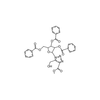 COC(=O)c1nnn(C2OC(COC(=O)c3ccccc3)C(OC(=O)c3ccccc3)C2OC(=O)c2ccccc2)c1CO